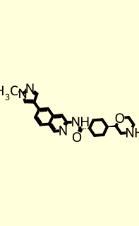 Cn1cc(-c2ccc3cnc(NC(=O)[C@H]4CC[C@H](C5CNCCO5)CC4)cc3c2)cn1